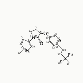 Cc1ccc(N2CC[C@@H](Oc3ccc(CCC(C)(F)F)nc3)C2=O)cn1